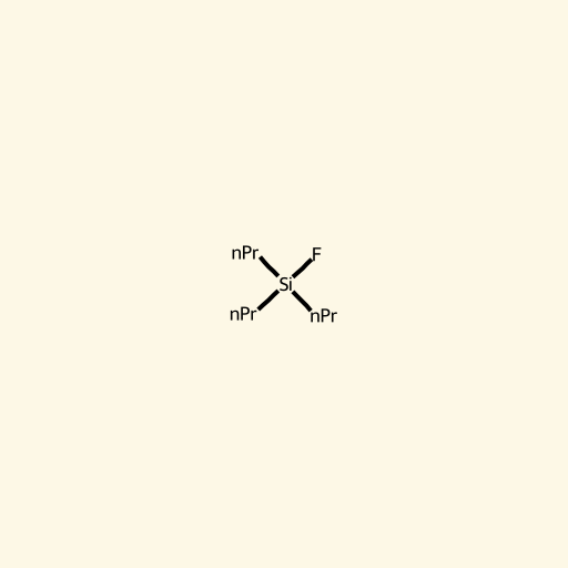 CCC[Si](F)(CCC)CCC